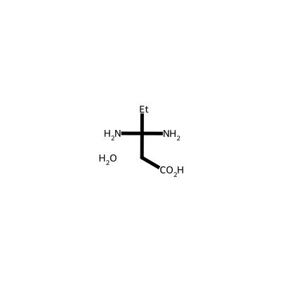 CCC(N)(N)CC(=O)O.O